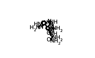 NC(=O)C(N)CNS(=O)(=O)c1ccc(-c2cccc3[nH]c(N)nc23)c(-c2nn[nH]n2)c1S(N)(=O)=O